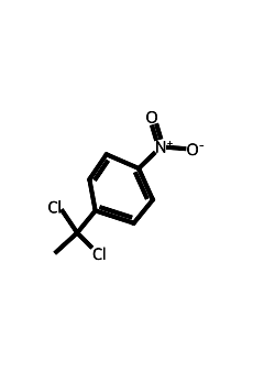 CC(Cl)(Cl)c1ccc([N+](=O)[O-])cc1